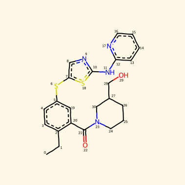 CCc1ccc(Sc2cnc(Nc3ccccn3)s2)cc1C(=O)N1CCCC(CO)C1